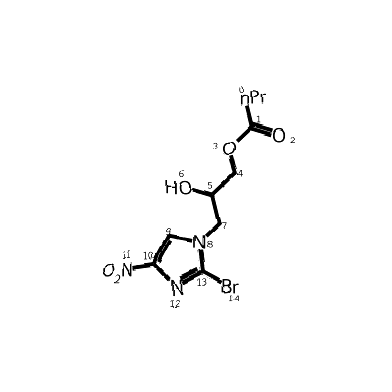 CCCC(=O)OCC(O)Cn1cc([N+](=O)[O-])nc1Br